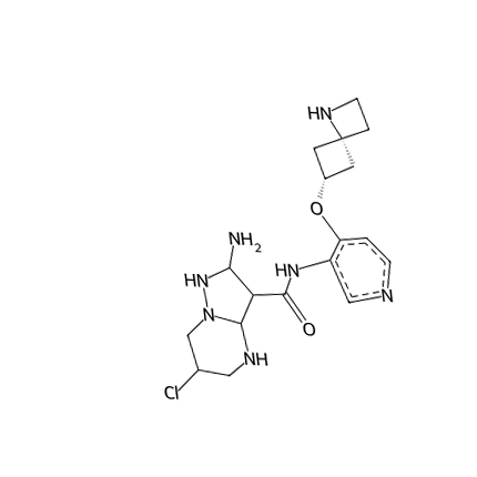 NC1NN2CC(Cl)CNC2C1C(=O)Nc1cnccc1O[C@H]1C[C@]2(CCN2)C1